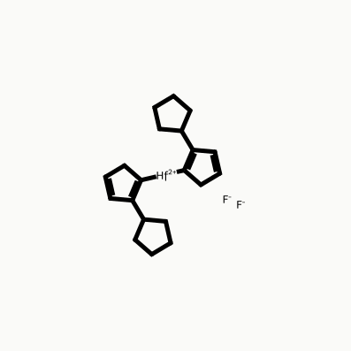 C1=CC(C2CCCC2)=[C]([Hf+2][C]2=C(C3CCCC3)C=CC2)C1.[F-].[F-]